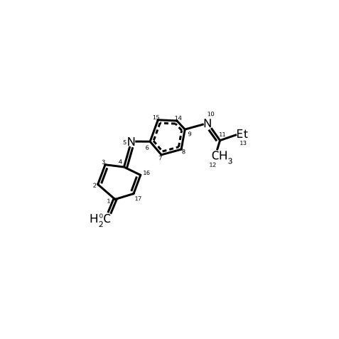 C=C1C=CC(=Nc2ccc(N=C(C)CC)cc2)C=C1